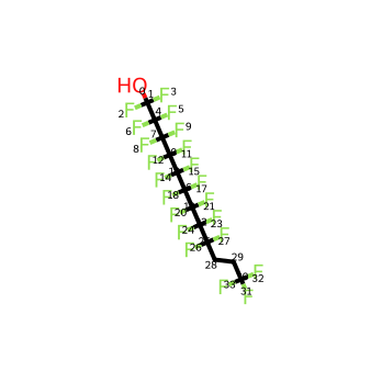 OC(F)(F)C(F)(F)C(F)(F)C(F)(F)C(F)(F)C(F)(F)C(F)(F)C(F)(F)C(F)(F)CCC(F)(F)F